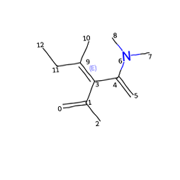 C=C(C)/C(C(=C)N(C)C)=C(/C)CC